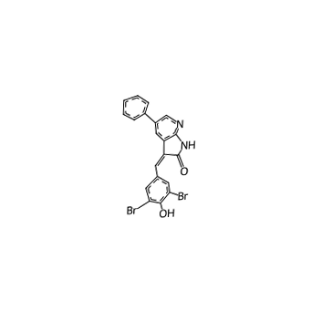 O=C1Nc2ncc(-c3ccccc3)cc2C1=Cc1cc(Br)c(O)c(Br)c1